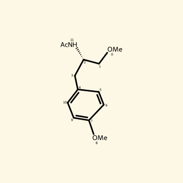 COC[C@H](Cc1ccc(OC)cc1)NC(C)=O